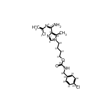 C=C(Cl)/N=C(/N)c1ncn(CCCCOC(=O)NCc2ccc(Cl)cc2)c1C